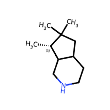 C[C@H]1C2CNCCC2CC1(C)C